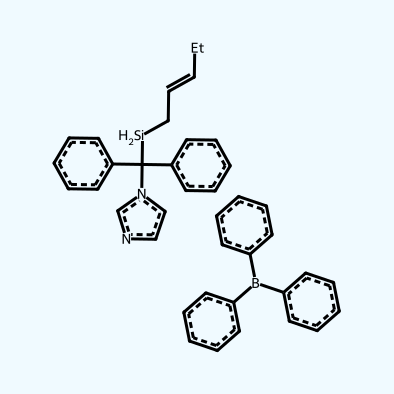 CCC=CC[SiH2]C(c1ccccc1)(c1ccccc1)n1ccnc1.c1ccc(B(c2ccccc2)c2ccccc2)cc1